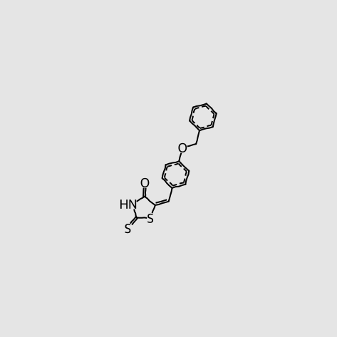 O=C1NC(=S)S/C1=C/c1ccc(OCc2ccccc2)cc1